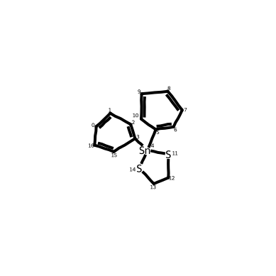 c1cc[c]([Sn]2([c]3ccccc3)[S]CC[S]2)cc1